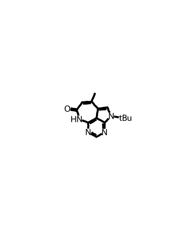 CC1=CC(=O)Nc2ncnc3c2c1cn3C(C)(C)C